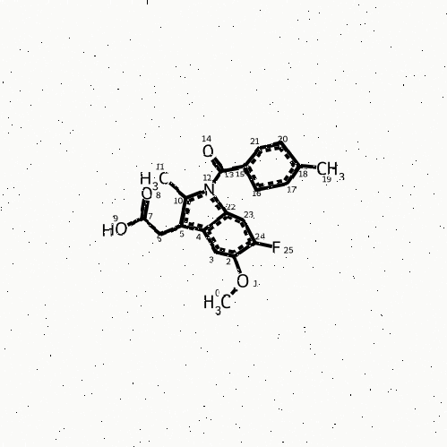 COc1cc2c(CC(=O)O)c(C)n(C(=O)c3ccc(C)cc3)c2cc1F